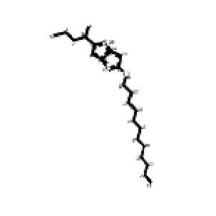 [CH2]CCC(C)c1cc2sc(OCCCCCCCCCCCC)cc2s1